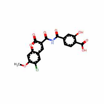 COc1cc2oc(=O)c(C(=O)NC(=O)c3ccc(C(=O)O)c(O)c3)cc2cc1Cl